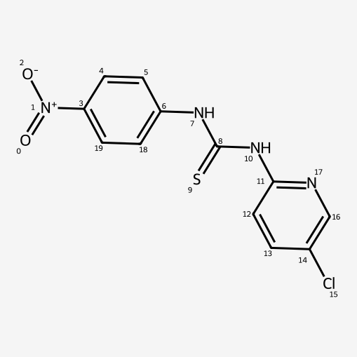 O=[N+]([O-])c1ccc(NC(=S)Nc2ccc(Cl)cn2)cc1